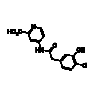 O=C(Cc1ccc(Cl)c(O)c1)Nc1ccnc(C(=O)O)c1